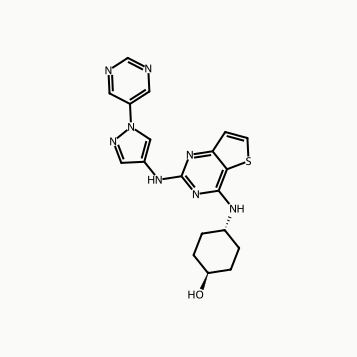 O[C@H]1CC[C@H](Nc2nc(Nc3cnn(-c4cncnc4)c3)nc3ccsc23)CC1